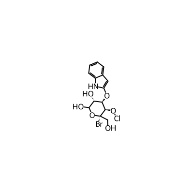 OC[C@@]1(Br)OC(O)[C@H](O)[C@@H](Oc2cc3ccccc3[nH]2)[C@H]1OCl